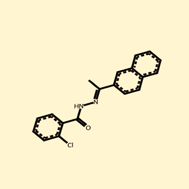 C/C(=N\NC(=O)c1ccccc1Cl)c1ccc2ccccc2c1